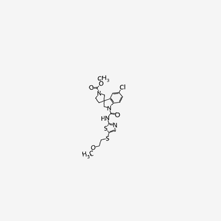 COCCSc1cnc(NC(=O)N2CC3(CCN(C(=O)OC)C3)c3cc(Cl)ccc32)s1